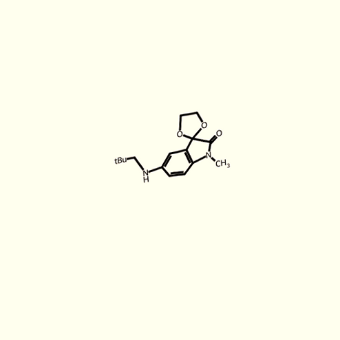 CN1C(=O)C2(OCCO2)c2cc(NCC(C)(C)C)ccc21